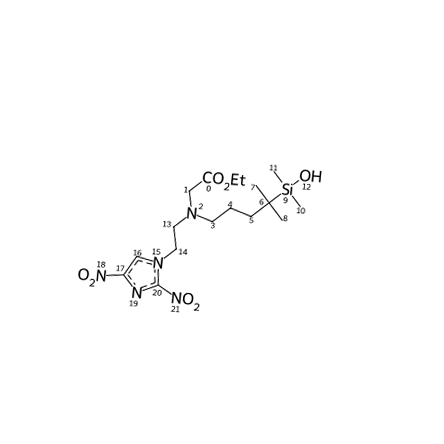 CCOC(=O)CN(CCCC(C)(C)[Si](C)(C)O)CCn1cc([N+](=O)[O-])nc1[N+](=O)[O-]